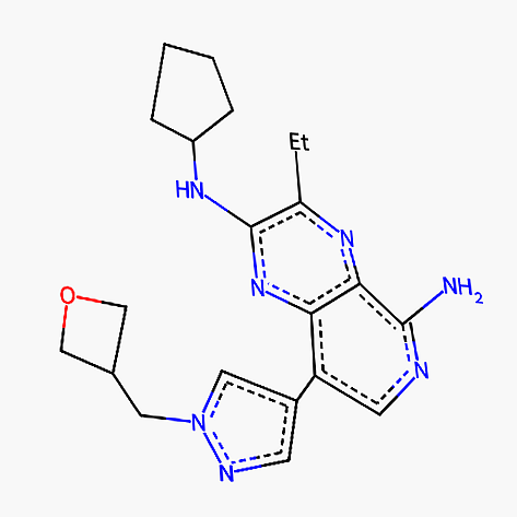 CCc1nc2c(N)ncc(-c3cnn(CC4COC4)c3)c2nc1NC1CCCC1